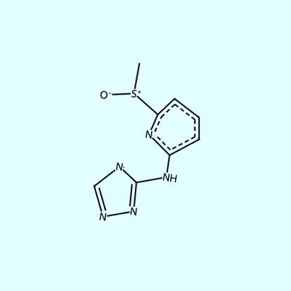 C[S+]([O-])c1cccc(NC2=NN=C[N]2)n1